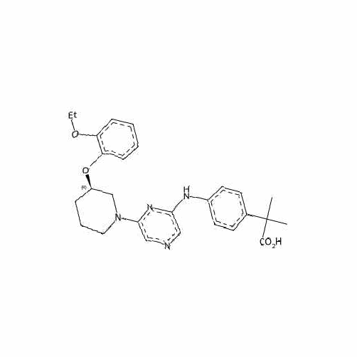 CCOc1ccccc1O[C@@H]1CCCN(c2cncc(Nc3ccc(C(C)(C)C(=O)O)cc3)n2)C1